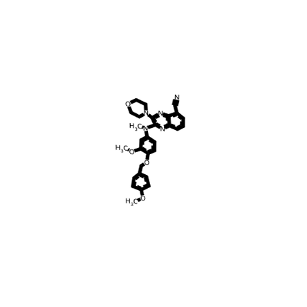 COc1ccc(COc2ccc(N(C)c3nc4cccc(C#N)c4nc3N3CCOCC3)cc2OC)cc1